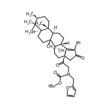 CC(C)C1=C2[C@H]3CC[C@@H]4[C@@]5(C)CC[C@H](C)C(C)(C)[C@@H]5CC[C@@]4(C)[C@]3(C)CC[C@@]2(C(=O)CN(Cc2ccco2)C(=O)OC(C)(C)C)CC1=O